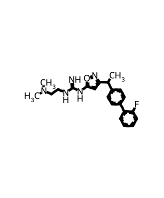 CC(c1ccc(-c2ccccc2F)cc1)c1cc(NC(=N)NCCN(C)C)on1